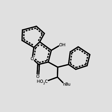 CCCCC(C(=O)O)C(c1ccccc1)c1c(O)c2ccccc2oc1=O